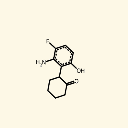 Nc1c(F)ccc(O)c1C1CCCCC1=O